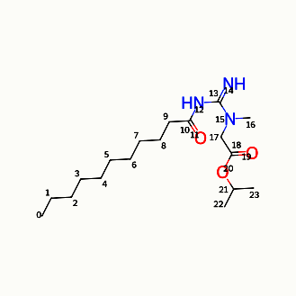 CCCCCCCCCCC(=O)NC(=N)N(C)CC(=O)OC(C)C